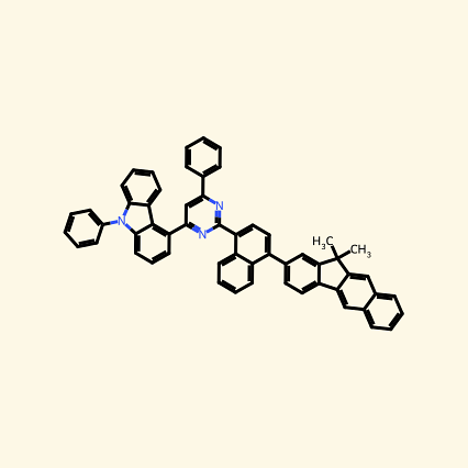 CC1(C)c2cc(-c3ccc(-c4nc(-c5ccccc5)cc(-c5cccc6c5c5ccccc5n6-c5ccccc5)n4)c4ccccc34)ccc2-c2cc3ccccc3cc21